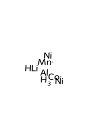 [AlH3].[Co].[LiH].[Mn].[Ni].[Ni]